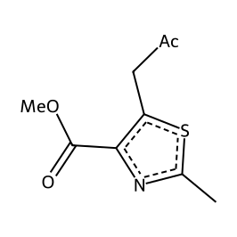 COC(=O)c1nc(C)sc1CC(C)=O